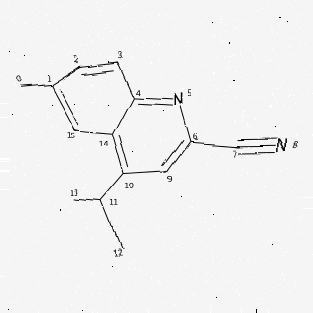 Cc1ccc2nc(C#N)cc(C(C)C)c2c1